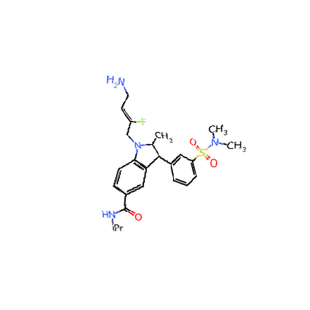 CC(C)NC(=O)c1ccc2c(c1)C(c1cccc(S(=O)(=O)N(C)C)c1)C(C)N2C/C(F)=C/CN